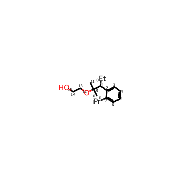 CCC(c1ccccc1C(C)C)C(C)(C)OCCO